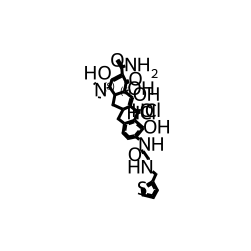 CN(C)[C@@H]1C(O)=C(C(N)=O)C(=O)[C@@]2(O)C(O)=C3C(=O)c4c(ccc(NC(=O)CNCc5cccs5)c4O)CC3CC12.Cl.Cl